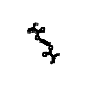 C=C(C)C(=O)OC#COC(=O)C(=C)C